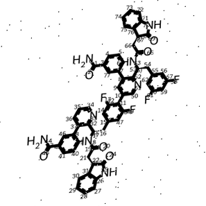 NC(=O)c1cccc(-c2cc(-c3c(F)cc(C[C@H](NC(=O)C[C@H]4C(=O)Nc5ccccc54)c4ncccc4-c4cccc(C(N)=O)c4)cc3F)cnc2[C@H](Cc2cc(F)cc(F)c2)NC(=O)C[C@@H]2C(=O)Nc3ccccc32)c1